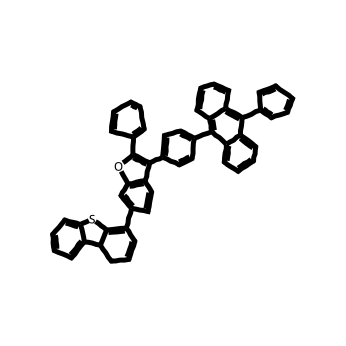 C1=CC(c2ccc3c(-c4ccc(-c5c6ccccc6c(-c6ccccc6)c6ccccc56)cc4)c(-c4ccccc4)oc3c2)=C2Sc3ccccc3C2C1